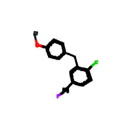 CCOc1ccc(Cc2c[c]([Mg][I])ccc2Cl)cc1